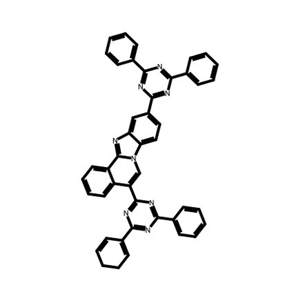 C1=CC(c2nc(-c3ccccc3)nc(-c3cn4c5ccc(-c6nc(-c7ccccc7)nc(-c7ccccc7)n6)cc5nc4c4ccccc34)n2)=CCC1